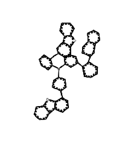 c1cc(-c2ccccc2-c2ccc3ccccc3c2)cc(N(c2ccc(-c3cccc4c3oc3ccccc34)cc2)c2ccccc2-c2ccc3oc4ccccc4c3c2)c1